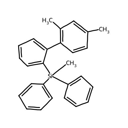 Cc1ccc(-c2ccccc2[Si](C)(c2ccccc2)c2ccccc2)c(C)c1